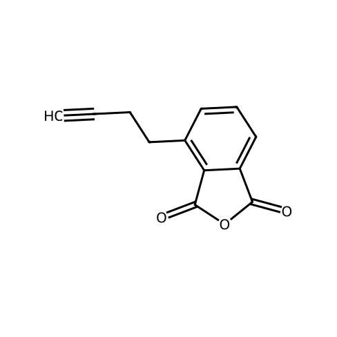 C#CCCc1cccc2c1C(=O)OC2=O